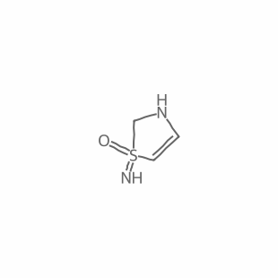 N=S1(=O)C=CNC1